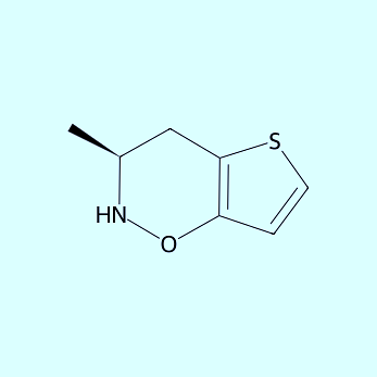 C[C@H]1Cc2sccc2ON1